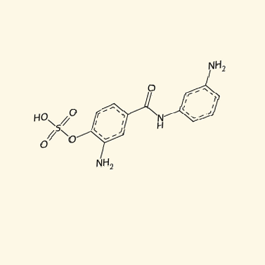 Nc1cccc(NC(=O)c2ccc(OS(=O)(=O)O)c(N)c2)c1